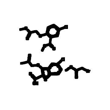 CC(=O)COc1c(C(=O)O)oc2ccc(Cl)cc12.COC(=O)CBr.COC(=O)COc1ccc(Cl)cc1C(=O)OC